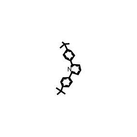 CC(C)(C)c1ccc(-c2cccc(-c3ccc(C(C)(C)C)cc3)n2)cc1